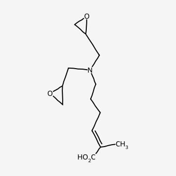 CC(=CCCCN(CC1CO1)CC1CO1)C(=O)O